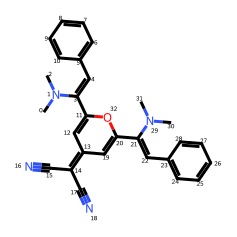 CN(C)C(=Cc1ccccc1)C1=CC(=C(C#N)C#N)C=C(C(=Cc2ccccc2)N(C)C)O1